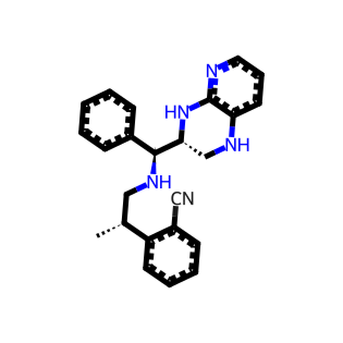 C[C@H](CN[C@@H](c1ccccc1)[C@H]1CNc2cccnc2N1)c1ccccc1C#N